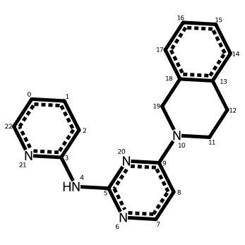 c1ccc(Nc2nccc(N3CCc4ccccc4C3)n2)nc1